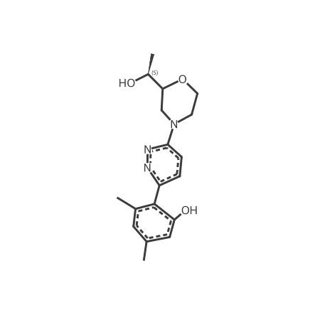 Cc1cc(C)c(-c2ccc(N3CCOC([C@H](C)O)C3)nn2)c(O)c1